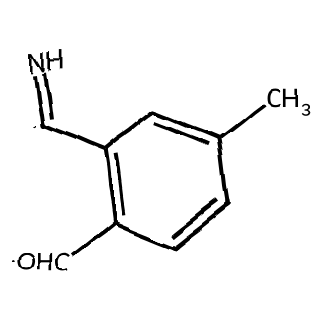 Cc1ccc([C]=O)c([C]=N)c1